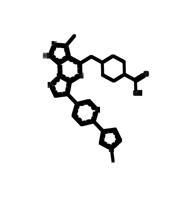 Cc1n[nH]c2c1c(CC1CCC(C(=O)O)CC1)nc1c(-c3ccc(-c4ccn(C)c4)nc3)cnn12